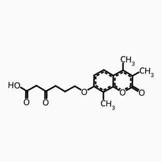 Cc1c(C)c2ccc(OCCCC(=O)CC(=O)O)c(C)c2oc1=O